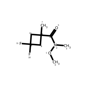 CON(C)C(=O)C1(C)CC(F)(F)C1